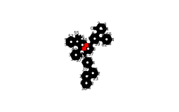 CC1CC=CC=C1c1ccc(-c2ccc(N(c3ccc(-c4cccc5c4ccc4ccccc45)cc3)c3ccccc3-c3cccc4c3-c3ccccc3C4(C)C)cc2)cc1-c1ccccc1